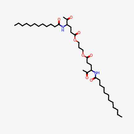 CCCCCCCCCCCC(=O)NC(CCC(=O)OCCCOC(=O)CCC(NC(=O)CCCCCCCCCCC)C(C)=O)C(C)=O